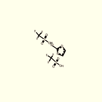 Nc1ncco1.O=S(=O)(O)C(F)(F)F.O=S(=O)(O)C(F)(F)F